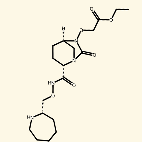 CCOC(=O)CON1C(=O)N2C[C@H]1CC[C@H]2C(=O)NOC[C@@H]1CCCCCN1